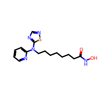 O=C(CCCCCCCN(c1ccccn1)c1ncns1)NO